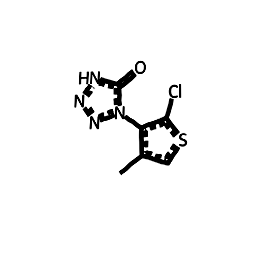 Cc1csc(Cl)c1-n1nn[nH]c1=O